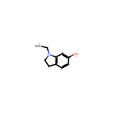 O=CCN1CCc2ccc(O)cc21